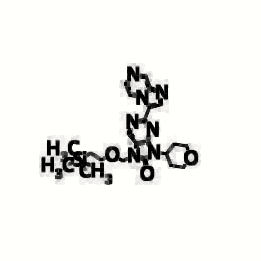 C[Si](C)(C)CCOCn1c(=O)n(C2CCOCC2)c2nc(-c3cnc4cnccn34)ncc21